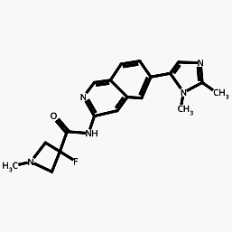 Cc1ncc(-c2ccc3cnc(NC(=O)C4(F)CN(C)C4)cc3c2)n1C